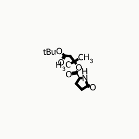 CC(C)(C)OC(=O)CC(C)(C)OC(=O)[C@@H]1CCC(=O)N1